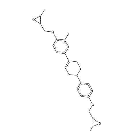 Cc1cc(C2=CCC(c3ccc(OCC4OC4C)cc3)CC2)ccc1OCC1OC1C